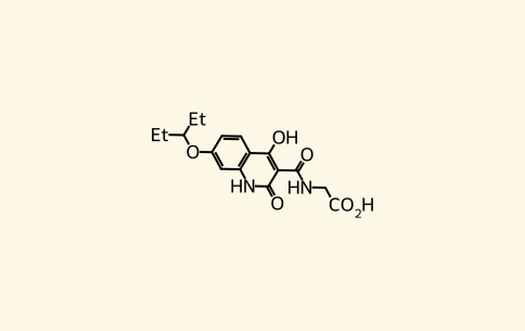 CCC(CC)Oc1ccc2c(O)c(C(=O)NCC(=O)O)c(=O)[nH]c2c1